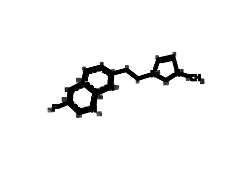 CN1C=CN(CCc2ccc3cc(F)cnc3n2)C1